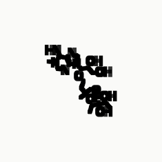 CCC(O)(CC)P(=O)(O)OC(C)(C)CCO[C@H]([C@H](O)CO)n1cnc2c(=N)n(C)cnc21